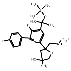 CC1(O)COC(CNC(=O)O)(c2cc(C(C)(C)O[Si](C)(C)C(C)(C)C)c(F)c(-c3ccc(F)cc3)n2)C1